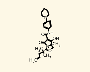 C=CCC(C)(C)[C@H]1OC[C@]2(C)C(O)=C(C(=O)Nc3ccc(N4CCCCC4)cc3)C(=O)N12